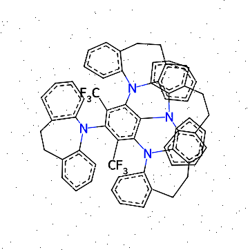 FC(F)(F)c1c(N2c3ccccc3CCc3ccccc32)c(N2c3ccccc3CCc3ccccc32)c(N2c3ccccc3CCc3ccccc32)c(C(F)(F)F)c1N1c2ccccc2CCc2ccccc21